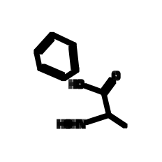 CC(NO)C(=O)O.c1ccccc1